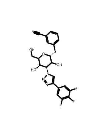 N#Cc1cccc(S[C@H]2OC(CO)[C@H](O)[C@H](n3cc(-c4cc(F)c(F)c(F)c4)nn3)C2O)c1